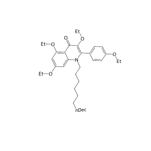 CCCCCCCCCCCCCCCCn1c(-c2ccc(OCC)cc2)c(OCC)c(=O)c2c(OCC)cc(OCC)cc21